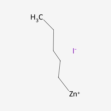 CCCC[CH2][Zn+].[I-]